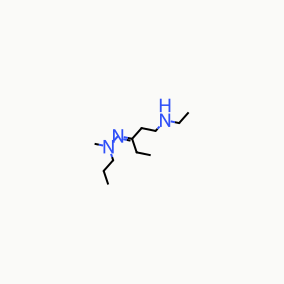 CCCN(C)/N=C(\CC)CCNCC